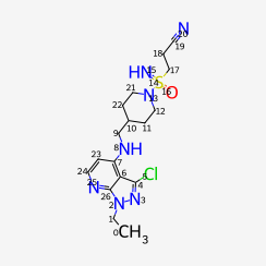 CCn1nc(Cl)c2c(NCC3CCN(S(=N)(=O)CCC#N)CC3)ccnc21